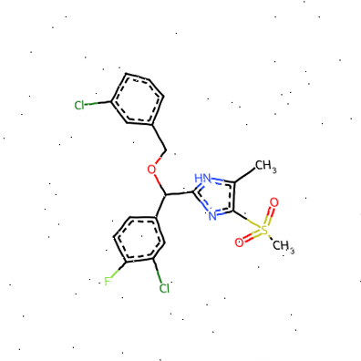 Cc1[nH]c(C(OCc2cccc(Cl)c2)c2ccc(F)c(Cl)c2)nc1S(C)(=O)=O